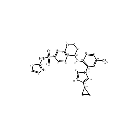 O=S(=O)(Nc1nccs1)c1ccc2c(c1)OCCC2Oc1ccc(C(F)(F)F)cc1-n1cc(C2CC2)nn1